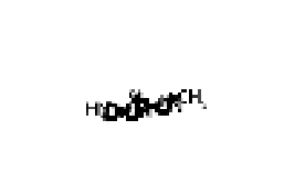 Cc1cn2cc(-c3cc(=O)n4cc(N5CCCNCC5)ccc4n3)ccc2n1